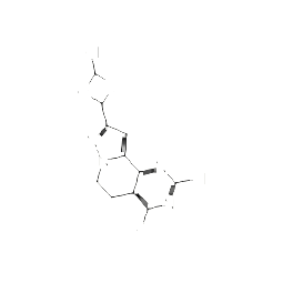 CC1OC(c2cc3n(n2)CCc2c(Cl)nc(Cl)nc2-3)O1